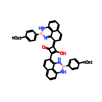 CCCCCCCCc1ccc(B2N=c3/c(=C4\C(=O)C(c5ccc6cccc7c6c5NB(c5ccc(CCCCCCCC)cc5)N7)=C4O)ccc4cccc(c34)N2)cc1